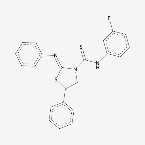 Fc1cccc(NC(=S)N2CC(c3ccccc3)SC2=Nc2ccccc2)c1